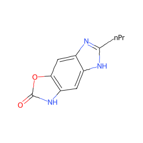 CCCc1nc2cc3oc(=O)[nH]c3cc2[nH]1